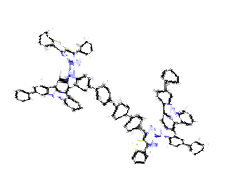 c1ccc(-c2ccc3c(c2)c2c4c5ccccc5n5c6cc(-c7ccccc7)ccc6c(cc2n3-c2nc(-c3ccc(-c6ccc(-c7ccc(-c8ccc9c(c8)c8c%10c%11ccccc%11n%11c%12cc(-c%13ccccc%13)ccc%12c(cc8n9-c8nc(-c9ccccc9)c9sc%12ccccc%12c9n8)c%10%11)cc7)cc6)cc3)c3sc6ccccc6c3n2)c45)cc1